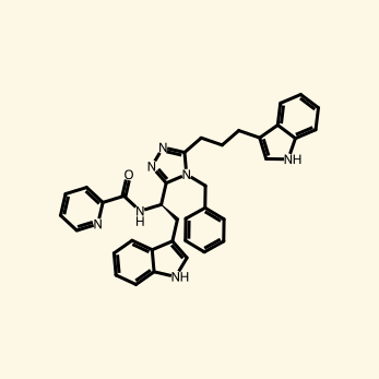 O=C(N[C@H](Cc1c[nH]c2ccccc12)c1nnc(CCCc2c[nH]c3ccccc23)n1Cc1ccccc1)c1ccccn1